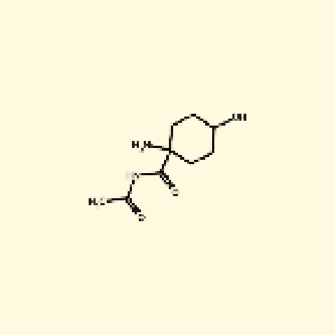 CC(=O)NC(=O)C1(N)CCC(O)CC1